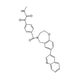 CNC(=O)C(=O)c1ccc(C(=O)N2CCOc3ccc(-c4cnc5ccccc5c4)cc3C2)cc1